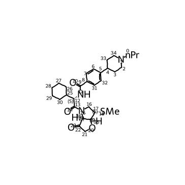 CCCN1CCC(c2ccc(C(=O)N[C@H](C(=O)N3C[C@H](SC)[C@H]4OCC(=O)[C@H]43)C3CCCCC3)cc2)CC1